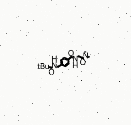 CN(C)C(=O)CNC(=O)c1ccc(CNC(=O)C(C)(C)C)cc1